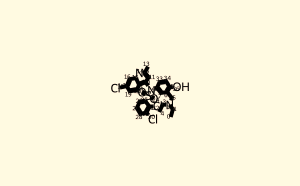 CCN(CC)Cc1cc(N(c2cc(C)nc3cc(Cl)ccc23)S(=O)(=O)c2cccc(Cl)c2Cl)ccc1O